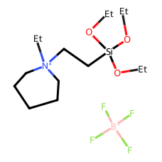 CCO[Si](CC[N+]1(CC)CCCCC1)(OCC)OCC.F[B-](F)(F)F